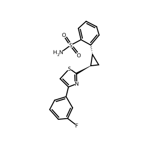 NS(=O)(=O)c1ccccc1[C@@H]1C[C@H]1c1nc(-c2cccc(F)c2)cs1